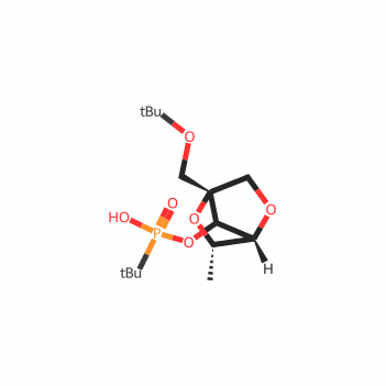 C[C@@H]1O[C@]2(COC(C)(C)C)CO[C@H]1C2OP(=O)(O)C(C)(C)C